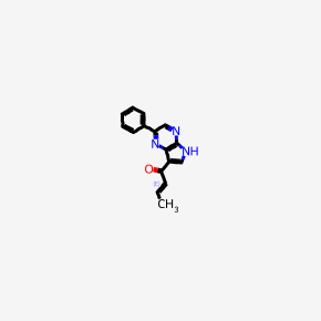 C/C=C/C(=O)c1c[nH]c2ncc(-c3ccccc3)nc12